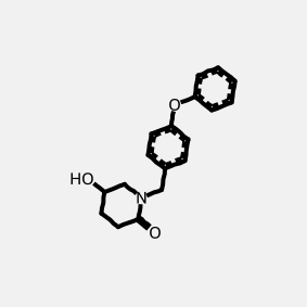 O=C1CCC(O)CN1Cc1ccc(Oc2ccccc2)cc1